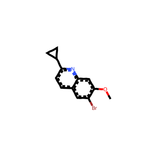 COc1cc2nc(C3CC3)ccc2cc1Br